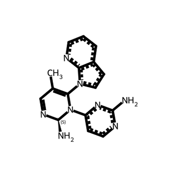 CC1=C(n2ccc3cccnc32)N(c2ccnc(N)n2)[C@@H](N)N=C1